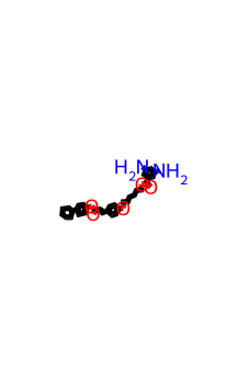 Nc1cc(N)cc(C(=O)OCCCCCCOc2ccc(C=CC(=O)Oc3ccc(C4CCCCC4)cc3)cc2)c1